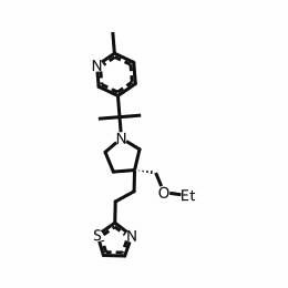 CCOC[C@]1(CCc2nccs2)CCN(C(C)(C)c2ccc(C)nc2)C1